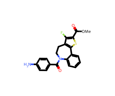 COC(=O)c1sc2c(c1F)CCN(C(=O)c1ccc(N)cc1)c1ccccc1-2